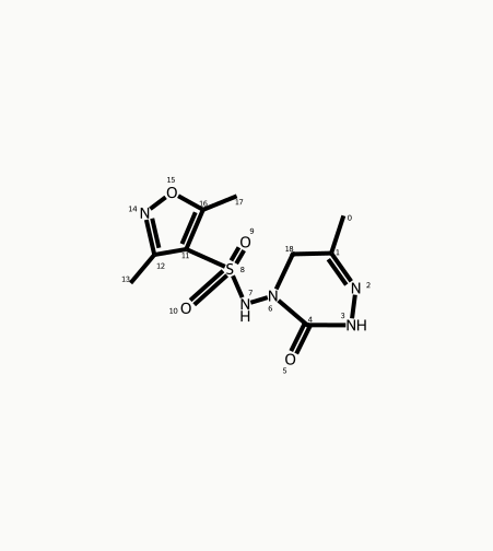 CC1=NNC(=O)N(NS(=O)(=O)c2c(C)noc2C)C1